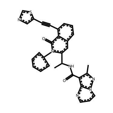 Cc1nn2cccnc2c1C(=O)NC(C)c1cc2cccc(C#Cc3cncs3)c2c(=O)n1-c1ccccc1